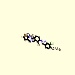 COc1ccc(CNC2CCC(C(=O)O)(c3ncc4ccsc4n3)C(C)C2C)cc1Cl